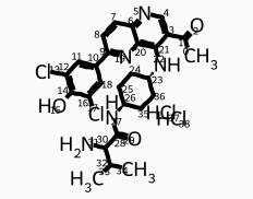 CC(=O)c1cnc2ccc(-c3cc(Cl)c(O)c(Cl)c3)nc2c1N[C@H]1CC[C@H](NC(=O)C(N)C(C)C)CC1.Cl.Cl